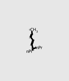 CC=CC=CC(CCC)CCC